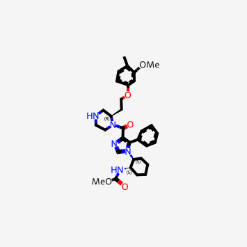 COC(=O)N[C@H]1CCCC[C@@H]1n1cnc(C(=O)N2CCNC[C@H]2CCOc2ccc(C)c(OC)c2)c1-c1ccccc1